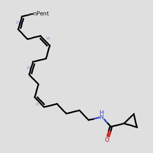 CCCCC/C=C\C/C=C\C/C=C\C/C=C\CCCCNC(=O)C1CC1